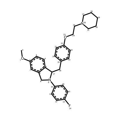 COc1ccc2c(c1)CN(c1ccc(F)cc1)C2Cc1ccc(OCCN2CCCCC2)cc1